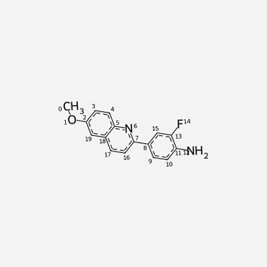 COc1ccc2nc(-c3ccc(N)c(F)c3)ccc2c1